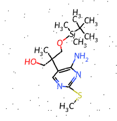 CSc1ncc(C(C)(CO)CO[Si](C)(C)C(C)(C)C)c(N)n1